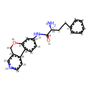 N[C@@H](CCc1ccccc1)C(=O)Nc1ccc2c(c1)OCc1cnccc1-2